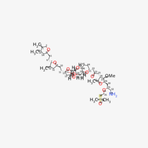 C=C1CO[C@@H](CC[C@@H]2O[C@@H](CC[C@@]34C[C@H]5O[C@@H]6[C@@H](O3)[C@H]3O[C@@H](CC(=O)C[C@@H]7[C@@H](OC)[C@@H](C[C@@H](CN)OCC[SH](C)(C)=O)O[C@H]7C)CC[C@@H]3O[C@H]6[C@H]5O4)CC2=C)C[C@H]1C